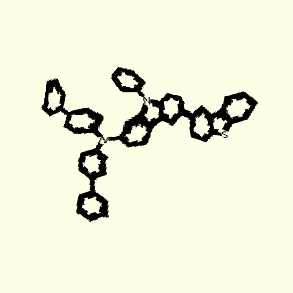 c1ccc(-c2ccc(N(c3ccc(-c4ccccc4)cc3)c3ccc4c5cc(-c6ccc7sc8ccccc8c7c6)ccc5n(-c5ccccc5)c4c3)cc2)cc1